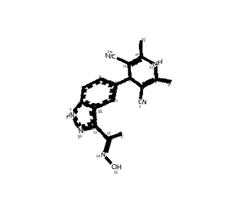 CC1=C(C#N)C(c2ccc3[nH]nc(/C(C)=N/O)c3c2)C(C#N)=C(C)N1